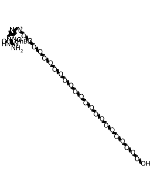 CCCCOc1nc(N)c2[nH]c(=O)n(Cc3ccc(CN(C)CCOCCOCCOCCOCCOCCOCCOCCOCCOCCOCCOCCOCCOCCOCCOCCOCCOCCOCCOCCOCCOCCOCCOCCO)nc3)c2n1